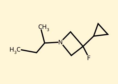 CCC(C)N1CC(F)(C2CC2)C1